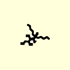 CCCCCP(=O)(CCCCC)/[P+]([O-])=C(\O)C(O)CO